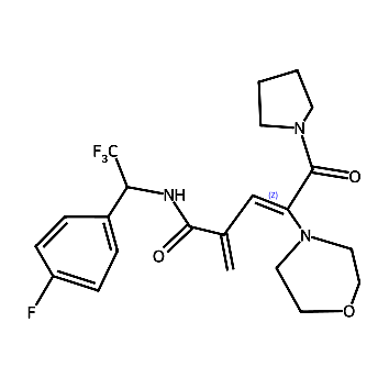 C=C(/C=C(/C(=O)N1CCCC1)N1CCOCC1)C(=O)NC(c1ccc(F)cc1)C(F)(F)F